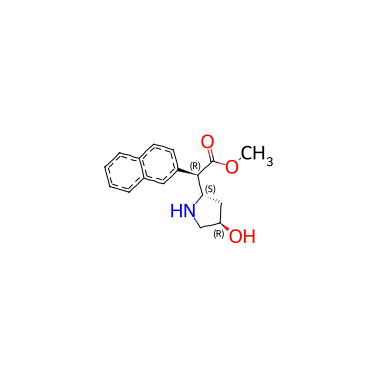 COC(=O)[C@H](c1ccc2ccccc2c1)[C@@H]1C[C@@H](O)CN1